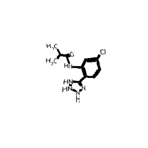 CC(C)C(=O)Nc1cc(Cl)ccc1C1=NNNN1